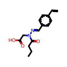 C=Cc1ccc(/C=N/N(CC(=O)O)C(=O)CCC)cc1